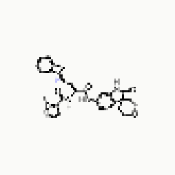 Cn1nccc1C(=O)NC(=C/C=C1\Cc2ccccc21)C(=O)Nc1ccc2c(c1)NC(=O)C21CCOCC1